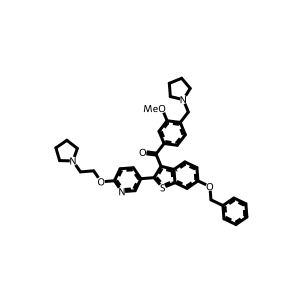 COc1cc(C(=O)c2c(-c3ccc(OCCN4CCCC4)nc3)sc3cc(OCc4ccccc4)ccc23)ccc1CN1CCCC1